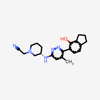 Cc1cc(N[C@H]2CCCN(CC#N)C2)nnc1-c1ccc2c(c1O)CCC2